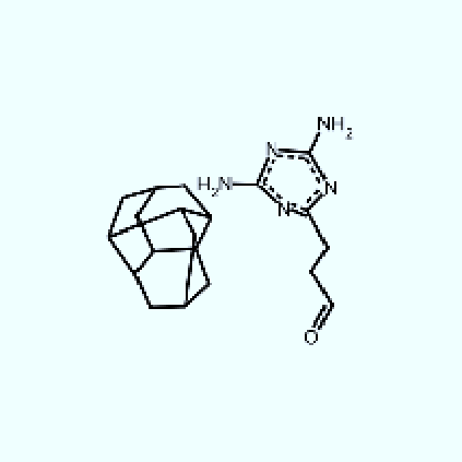 C1C2CC3C4CC5CC(C14)C(C2)C3C5.Nc1nc(N)nc(CCC=O)n1